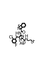 CC(=O)Cn1c(C(=O)NCCN(C)C)nc(NC(=O)c2nsc3ccccc23)c1[C@H](C)c1cc(F)ccc1Cl